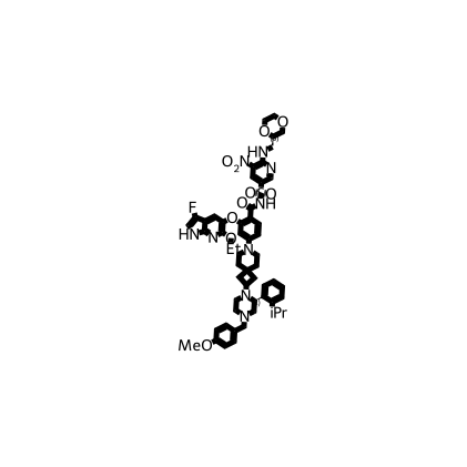 CCOc1nc2[nH]cc(F)c2cc1Oc1cc(N2CCC3(CC2)CC(N2CCN(Cc4ccc(OC)cc4)C[C@H]2c2ccccc2C(C)C)C3)ccc1C(=O)NS(=O)(=O)c1cnc(NC[C@H]2COCCO2)c([N+](=O)[O-])c1